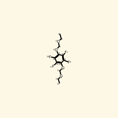 CCOCOc1c(F)c(F)c(OCOCC)c(F)c1F